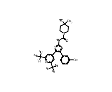 [2H]C([2H])([2H])c1cc(-c2sc(NC(=O)N3CCC(C)(C#N)CC3)nc2-c2cccc(C#N)c2)cc(C([2H])([2H])[2H])n1